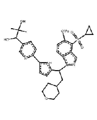 COc1ccc2c(cnn2C(CC2CCOCC2)c2ccc(-c3ccc(C(O)C(C)(C)O)cn3)[nH]2)c1S(=O)(=O)C1CC1